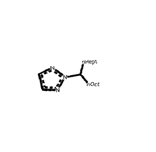 CCCCCCCCC(CCCCCCC)n1nccn1